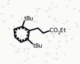 CCOC(=O)CCc1c(C(C)(C)C)cccc1C(C)(C)C